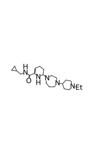 CCN1CCC(N2CCCN(C3CCC=C(C(=O)NCC4CC4)N3)CC2)CC1